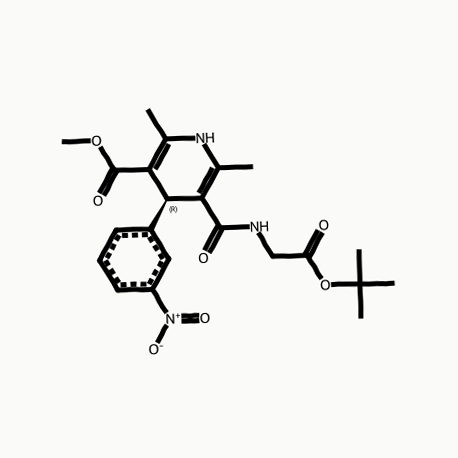 COC(=O)C1=C(C)NC(C)=C(C(=O)NCC(=O)OC(C)(C)C)[C@H]1c1cccc([N+](=O)[O-])c1